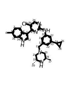 Cc1ccc2c(-c3nc(Nc4cc(CN5C[C@@H](C)N[C@H](C)C5)cc(C5CC5)c4)ncc3Cl)c[nH]c2c1